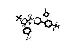 COc1ccc([C@@H]2CN(C(C)(C)C)C[C@@]2(F)C(=O)N2CCC(c3ccc(C(F)(F)F)cc3[C@H]3C[C@H](C)C3)CC2)cc1